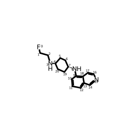 FCCN[C@H]1CC[C@H](Nc2cccc3cnccc23)CC1